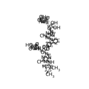 C[C@]12C[C@@H]3C[C@](C)(C1)C[C@@](Nc1nc(Cl)nc4c1ncn4[C@@H]1O[C@H](CCP(=O)(O)CP(=O)(O)O)C(O)C1Oc1ccc4c(c1)c1ccccc1n4-c1nc(Cl)nc4c1ncn4[C@@H]1O[C@H](CCP(=O)(O)CP(=O)(O)O)C(O)C1O)(C3)C2